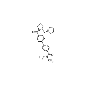 CN(C)C(=O)c1ccc(-c2ccc(C(=O)N3CCCC3CN3CCCC3)cc2)cc1